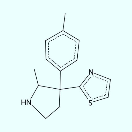 Cc1ccc(C2(c3nccs3)CCNC2C)cc1